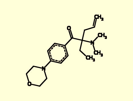 C=CCC(CC)(C(=O)c1ccc(N2CCOCC2)cc1)N(C)C